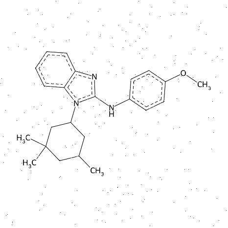 COc1ccc(Nc2nc3ccccc3n2C2CC(C)CC(C)(C)C2)cc1